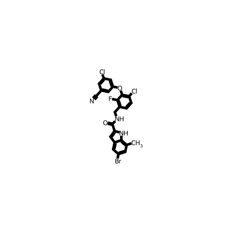 Cc1cc(Br)cc2cc(C(=O)NCc3ccc(Cl)c(Oc4cc(Cl)cc(C#N)c4)c3F)[nH]c12